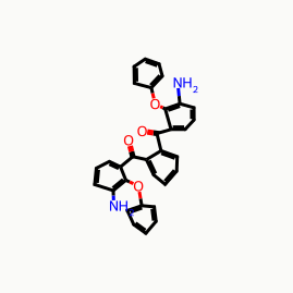 Nc1cccc(C(=O)c2ccccc2C(=O)c2cccc(N)c2Oc2ccccc2)c1Oc1ccccc1